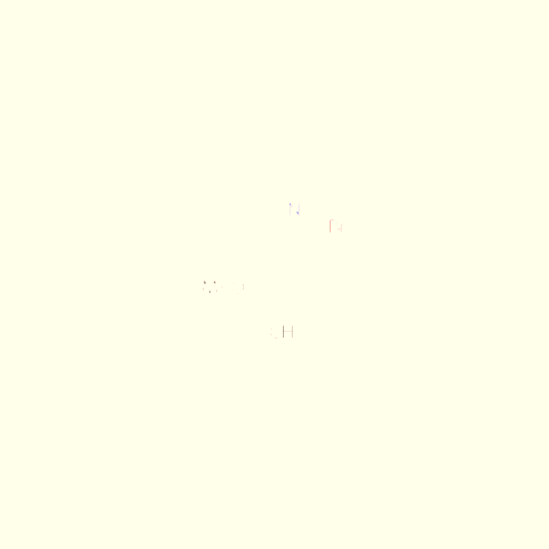 CC=C(OC)c1ccnc(Br)c1